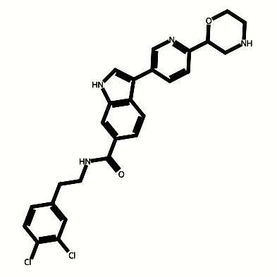 O=C(NCCc1ccc(Cl)c(Cl)c1)c1ccc2c(-c3ccc(C4CNCCO4)nc3)c[nH]c2c1